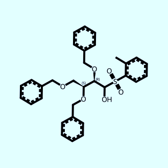 Cc1ccccc1S(=O)(=O)C(O)[C@H](OCc1ccccc1)[C@H](COCc1ccccc1)OCc1ccccc1